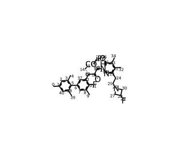 Cc1cc(C)c(-c2cc(C)c(F)c([C@H](CC(=O)O)C(=O)[C@H](CC(C)C)n3nc(CCN4CC(F)C4)c(C)c(C)c3=O)c2)c(C)c1